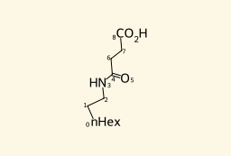 CCCCCCCCNC(=O)CCC(=O)O